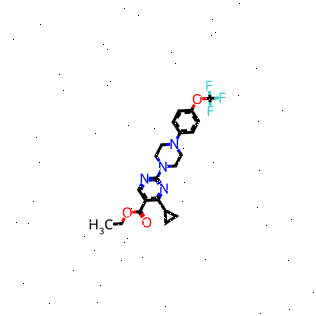 CCOC(=O)c1cnc(N2CCN(c3ccc(OC(F)(F)F)cc3)CC2)nc1C1CC1